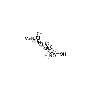 CC[C@H]1CN(c2nc(N)c(C(=O)NCCO)nc2Cl)CCN1C1CCN(Cc2ccc(C)cc2C(=O)NC)CC1